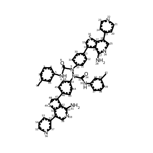 Cc1cccc(NC(=O)N(c2ccc(-c3csc4c(-c5ccncc5)cnc(N)c34)cc2)N(C(=O)Nc2cccc(C)c2)c2ccc(-c3csc4c(-c5cccnc5)cnc(N)c34)cc2)c1